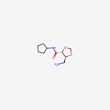 NC[C@@H]1OCO[C@H]1C(=O)NC1CCCC1